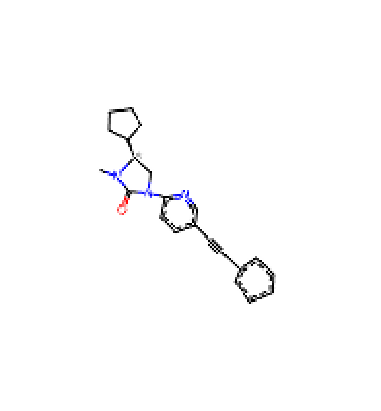 CN1C(=O)N(c2ccc(C#Cc3ccccc3)cn2)C[C@@H]1C1CCCC1